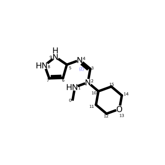 CNN(/C=N\C1C=CNN1)C1CCOCC1